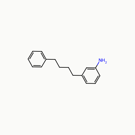 Nc1cccc(CCCCc2ccccc2)c1